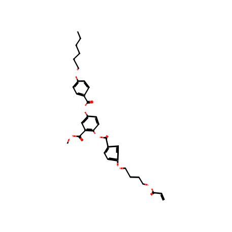 C=CC(=O)OCCCCOc1ccc(C(=O)Oc2ccc(OC(=O)c3ccc(OCCCCCC)cc3)cc2C(=O)OC)cc1